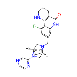 O=c1[nH]c2cc(CN3C[C@@H]4C[C@H]3CN4c3cnccn3)cc(F)c2c2c1CCCN2